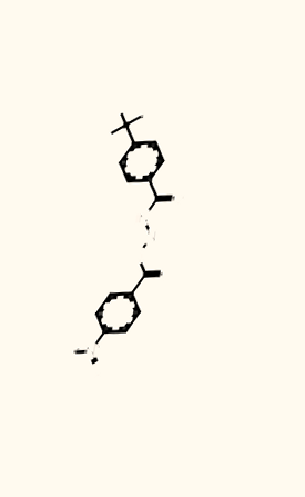 O=C(NNOC(=O)c1ccc([N+](=O)[O-])cc1)c1ccc(C(F)(F)F)cc1